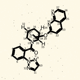 O=C(c1ccccc1-n1nccn1)N1C[C@@H]2CC[C@H]1[C@H](Oc1ccc3cccnc3n1)C2